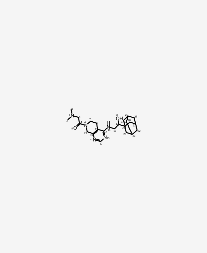 CN(C)CC(=O)N1CCc2c(ncnc2NCC(O)C23CC4CC(CC(C4)C2)C3)C1